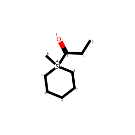 CCC(=O)[Si]1(C)CCCCC1